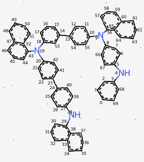 c1ccc(Nc2ccc(N(c3ccc(-c4cccc(N(c5ccc(-c6ccc(Nc7cccc8ccccc78)cc6)cc5)c5cccc6ccccc56)c4)cc3)c3cccc4ccccc34)cc2)cc1